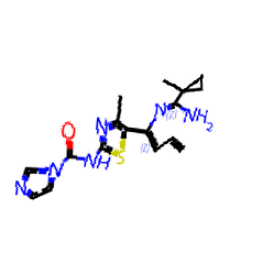 C=C/C=C(\N=C(/N)C1(C)CC1)c1sc(NC(=O)n2ccnc2)nc1C